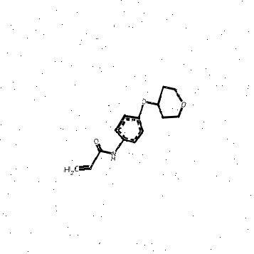 C=CC(=O)Nc1ccc(OC2CCOCC2)cc1